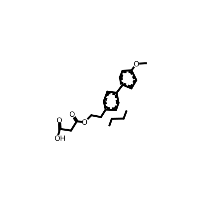 CCCC.COc1ccc(-c2ccc(CCOC(=O)CC(=O)O)cc2)cc1